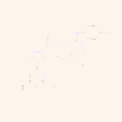 Cc1cc(C(=O)O)cc(-c2cnn(C3CC3)c2OCCC[C@@H](C)Cn2c(N)nc3ccc(Br)cc32)n1